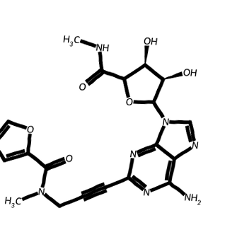 CNC(=O)C1OC(n2cnc3c(N)nc(C#CCN(C)C(=O)c4cnco4)nc32)[C@H](O)[C@@H]1O